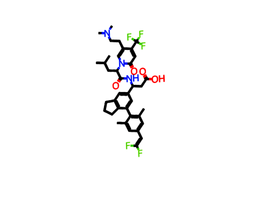 Cc1cc(C=C(F)F)cc(C)c1-c1cc(C(CC(=O)O)NC(=O)C(CC(C)C)n2cc(CCN(C)C)c(C(F)(F)F)cc2=O)cc2c1CCC2